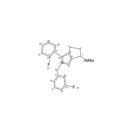 CNC1CCc2c1cn(Cc1cccc(F)c1)c2-c1ccccc1F